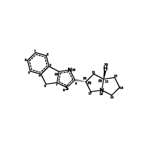 c1ccc2c(c1)Cc1sc([C@@H]3C[C@@H]4CCCN4C3)nc1-2